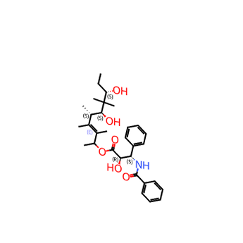 CC[C@H](O)C(C)(C)[C@@H](O)[C@@H](C)/C(C)=C(\C)C(C)OC(=O)[C@H](O)[C@@H](NC(=O)c1ccccc1)c1ccccc1